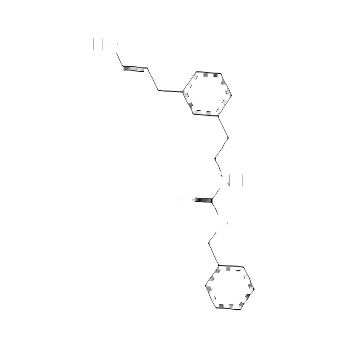 O=C(NCCc1cccc(CC=CO)c1)OCc1ccccc1